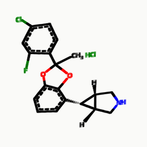 CC1(c2ccc(Cl)cc2F)Oc2cccc([C@@H]3[C@@H]4CNC[C@@H]43)c2O1.Cl